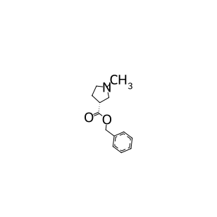 CN1CC[C@@H](C(=O)OCc2ccccc2)C1